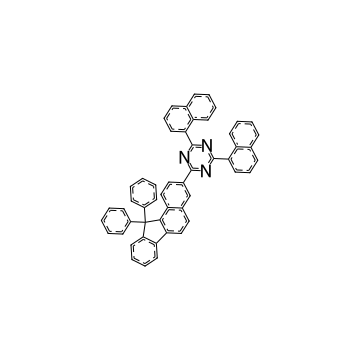 c1ccc(C2(c3ccccc3)c3ccccc3-c3ccc4cc(-c5nc(-c6cccc7ccccc67)nc(-c6cccc7ccccc67)n5)ccc4c32)cc1